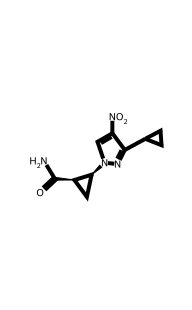 NC(=O)[C@@H]1C[C@@H]1n1cc([N+](=O)[O-])c(C2CC2)n1